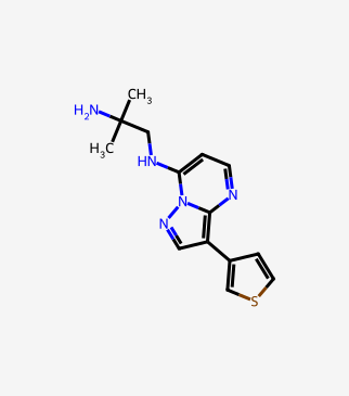 CC(C)(N)CNc1ccnc2c(-c3ccsc3)cnn12